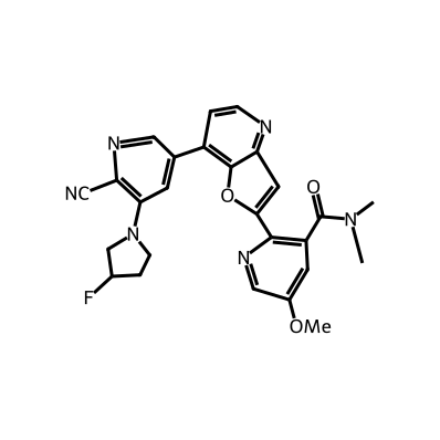 COc1cnc(-c2cc3nccc(-c4cnc(C#N)c(N5CCC(F)C5)c4)c3o2)c(C(=O)N(C)C)c1